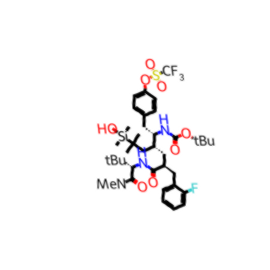 CNC(=O)[C@@H](NC(=O)[C@H](Cc1ccccc1F)C[C@H](CC(C)(C)[Si](C)(C)O)[C@H](Cc1ccc(OS(=O)(=O)C(F)(F)F)cc1)NC(=O)OC(C)(C)C)C(C)(C)C